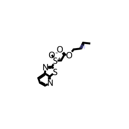 C/C=C/COC(=O)C[S+]([O-])c1nc2cccnc2s1